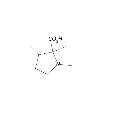 CC1CCN(C)C1(C)C(=O)O